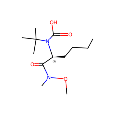 CCCC[C@@H](C(=O)N(C)OC)N(C(=O)O)C(C)(C)C